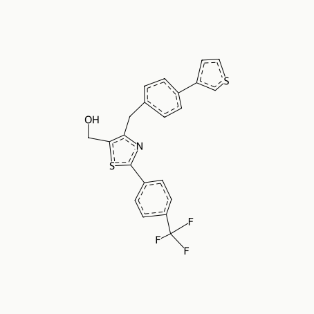 OCc1sc(-c2ccc(C(F)(F)F)cc2)nc1Cc1ccc(-c2ccsc2)cc1